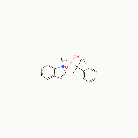 CP(=O)(O)C(Cc1cc2ccccc2[nH]1)(C(=O)O)c1ccccc1